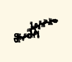 CCc1cc(OCC=C(Cl)Cl)cc(C)c1OCCCCCC=O